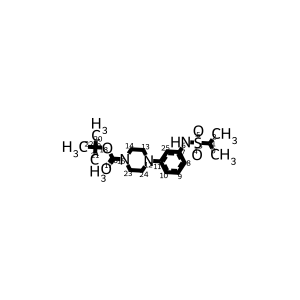 CC(C)S(=O)(=O)Nc1cccc(N2CCN(C(=O)OC(C)(C)C)CC2)c1